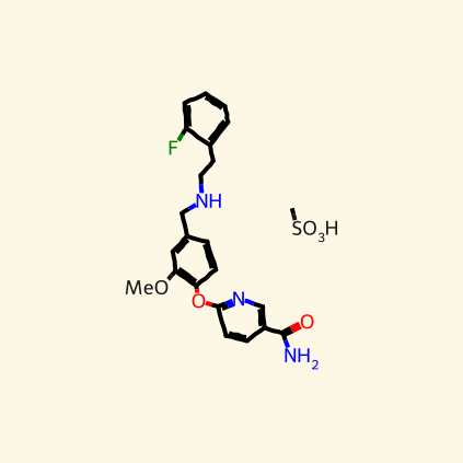 COc1cc(CNCCc2ccccc2F)ccc1Oc1ccc(C(N)=O)cn1.CS(=O)(=O)O